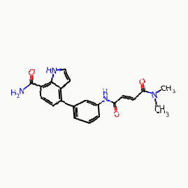 CN(C)C(=O)C=CC(=O)Nc1cccc(-c2ccc(C(N)=O)c3[nH]ccc23)c1